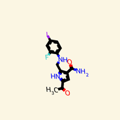 CC(=O)c1cc(C(N)=O)c(CNc2ccc(I)cc2F)[nH]1